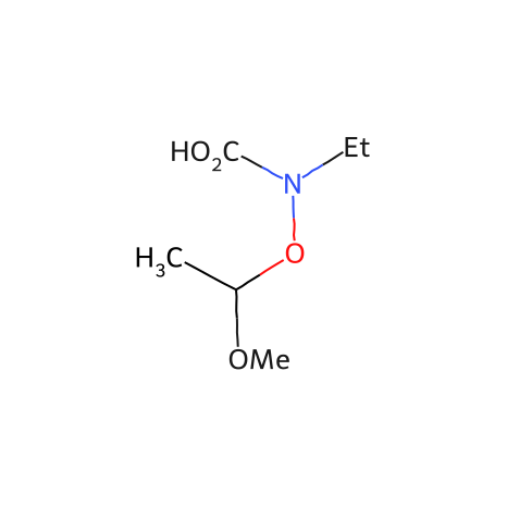 CCN(OC(C)OC)C(=O)O